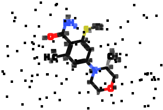 CCSc1cc(N2CCOC[C@H]2C)cc(C)c1C(N)=O